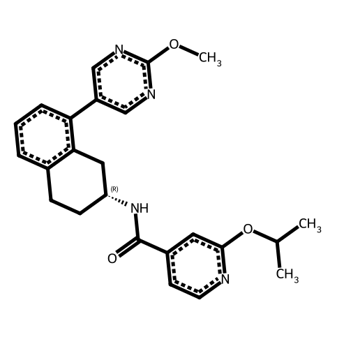 COc1ncc(-c2cccc3c2C[C@H](NC(=O)c2ccnc(OC(C)C)c2)CC3)cn1